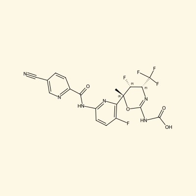 C[C@]1(c2nc(NC(=O)c3ccc(C#N)cn3)ccc2F)OC(NC(=O)O)=N[C@@H](C(F)(F)F)[C@H]1F